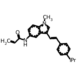 C=CC(=O)Nc1ccc2c(c1)c(C=Cc1ccc(C(C)C)cc1)cn2C